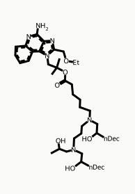 CCCCCCCCCCC(O)CN(CCCCCC(=O)OC(C)(C)Cn1c(COCC)nc2c(N)nc3ccccc3c21)CCCN(CC(C)O)CC(O)CCCCCCCCCC